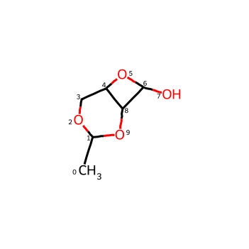 CC1OCC2OC(O)C2O1